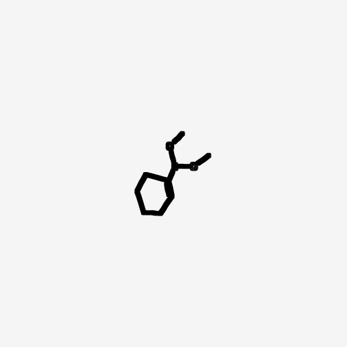 COB(OC)C1=CCCCC1